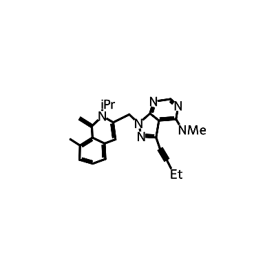 C=C1c2c(C)cccc2C=C(Cn2nc(C#CCC)c3c(NC)ncnc32)N1C(C)C